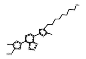 CCCCCCCCc1cc(-c2ccc(-c3cc(CCCCCCCCC(C)(C)C)c(C)s3)c3nsnc23)sc1C